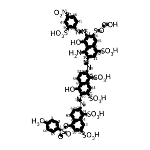 Cc1ccc(S(=O)(=O)Oc2cc(S(=O)(=O)O)cc3c(S(=O)(=O)O)c(N=Nc4c(S(=O)(=O)O)cc5c(S(=O)(=O)O)c(N=Nc6cc(S(=O)(=O)O)c7cc(SOOO)c(N=Nc8ccc([N+](=O)[O-])cc8S(=O)(=O)O)c(O)c7c6N)ccc5c4O)ccc23)cc1